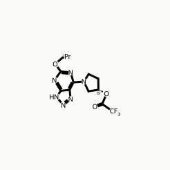 CC(C)Oc1nc(N2CC[C@H](OC(=O)C(F)(F)F)C2)c2nn[nH]c2n1